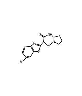 NC(=O)C(CN1CCCC1)c1nc2ccc(Br)cc2s1